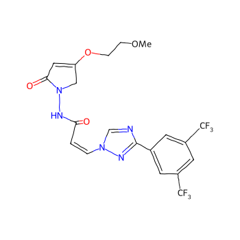 COCCOC1=CC(=O)N(NC(=O)/C=C\n2cnc(-c3cc(C(F)(F)F)cc(C(F)(F)F)c3)n2)C1